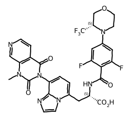 Cn1c(=O)n(-c2ccc(C[C@H](NC(=O)c3c(F)cc(N4CCOC[C@H]4C(F)(F)F)cc3F)C(=O)O)n3ccnc23)c(=O)c2ccncc21